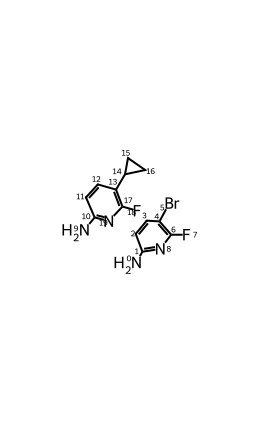 Nc1ccc(Br)c(F)n1.Nc1ccc(C2CC2)c(F)n1